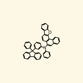 c1ccc(N(c2cccc(C3(c4ccccc4)c4ccccc4-c4ccccc43)c2)c2cc3ccccc3c3c2ccc2c4ccccc4oc23)cc1